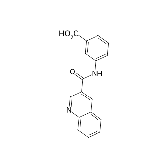 O=C(O)c1cccc(NC(=O)c2cnc3ccccc3c2)c1